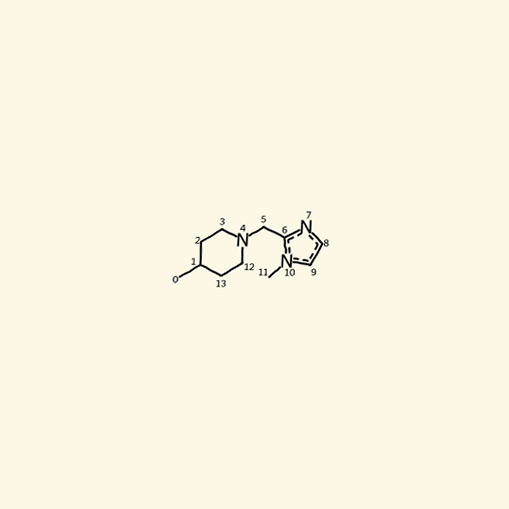 CC1CCN(Cc2nccn2C)CC1